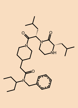 CCC(CC)N(Cc1ccccc1)C(=O)CC1CCN(C(=O)[C@H](CC(C)C)N2CCN[C@@H](CC(C)C)C2=O)CC1